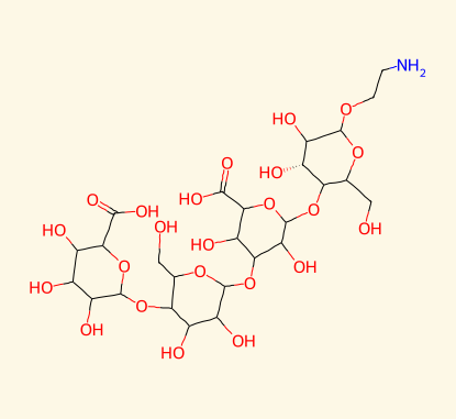 NCCOC1OC(CO)C(OC2OC(C(=O)O)C(O)C(OC3OC(CO)C(OC4OC(C(=O)O)C(O)C(O)C4O)C(O)C3O)C2O)[C@H](O)C1O